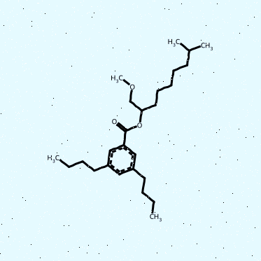 CCCCc1cc(CCCC)cc(C(=O)OC(CCCCCC(C)C)COC)c1